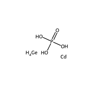 O=P(O)(O)O.[Cd].[GeH4]